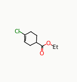 CCOC(=O)C1CC=C(Cl)CC1